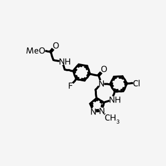 COC(=O)CNCc1ccc(C(=O)N2Cc3cnn(C)c3Nc3cc(Cl)ccc32)cc1F